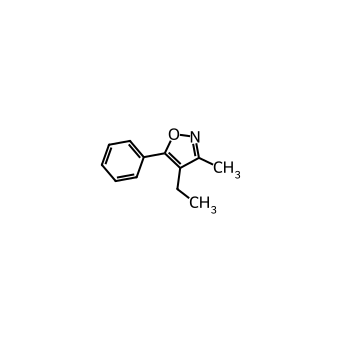 CCc1c(C)noc1-c1ccccc1